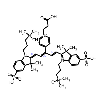 CC1(C)C(/C=C/C(=C/C=C2/N(CCC[N+](C)(C)C)c3ccc(S(=O)(=O)O)cc3C2(C)C)c2cc[n+](CCC(=O)O)cc2)=[N+](CCC[N+](C)(C)C)c2ccc(S(=O)(=O)O)cc21